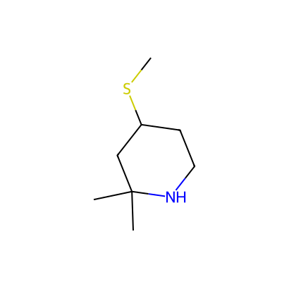 CSC1CCNC(C)(C)C1